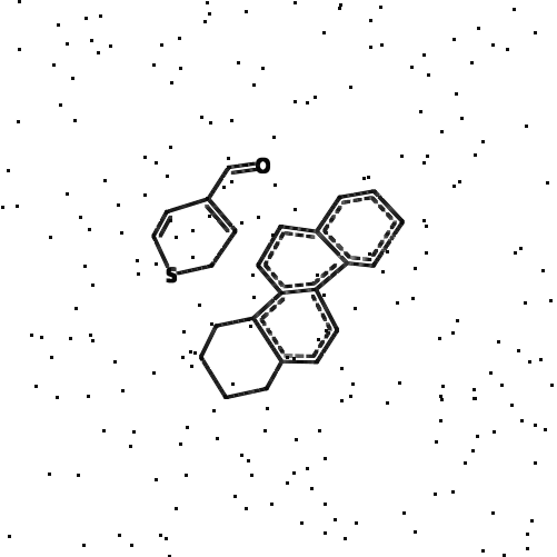 O=CC1=CCSC=C1.c1ccc2c(c1)ccc1c3c(ccc12)CCCC3